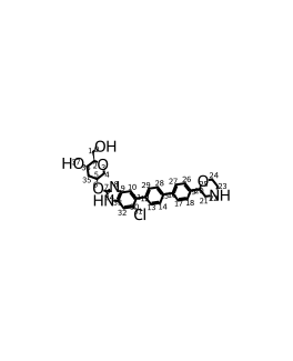 OC[C@H]1OC[C@H](Oc2nc3cc(-c4ccc(-c5ccc(C6CNCCO6)cc5)cc4)c(Cl)cc3[nH]2)C[C@@H]1O